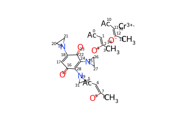 CC(=O)/C=C(/C)[O-].CC(=O)/C=C(/C)[O-].CC(=O)/C=C(/C)[O-].O=C1C=C(N2CC2)C(=O)C(N2CC2)=C1N1CC1.[Cr+3]